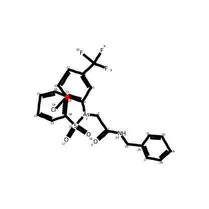 O=C(C[As](c1cc(C(F)(F)F)ccc1Cl)S(=O)(=O)c1ccccc1)NCc1ccccc1